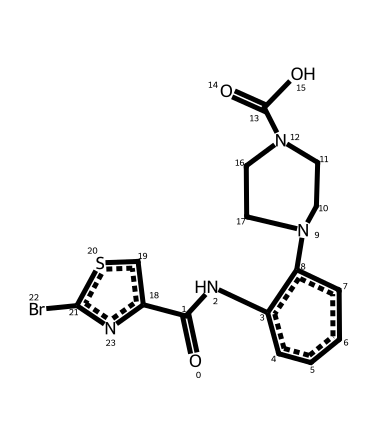 O=C(Nc1ccccc1N1CCN(C(=O)O)CC1)c1csc(Br)n1